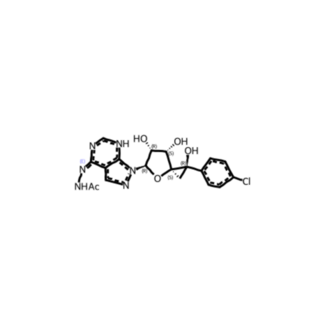 CC(=O)N/N=c1/nc[nH]c2c1cnn2[C@@H]1O[C@@]2(C[C@@]2(O)c2ccc(Cl)cc2)[C@@H](O)[C@H]1O